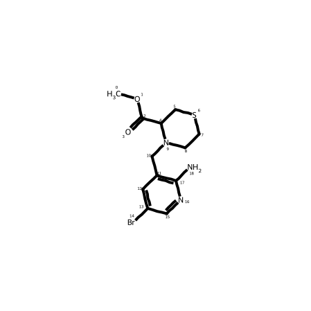 COC(=O)C1CSCCN1Cc1cc(Br)cnc1N